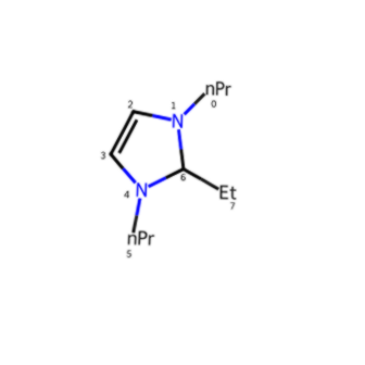 CCCN1C=CN(CCC)C1CC